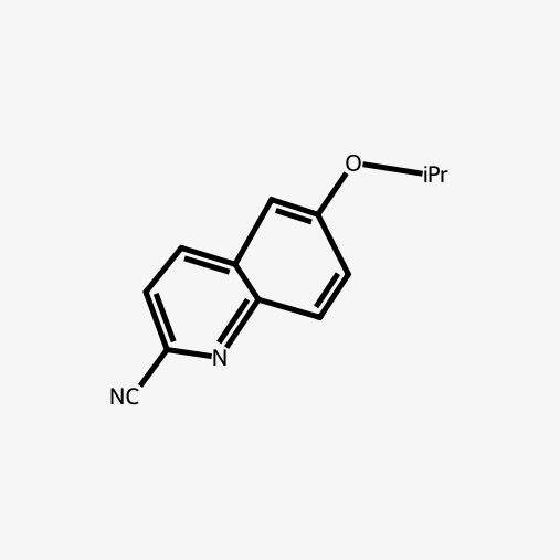 CC(C)Oc1ccc2nc(C#N)ccc2c1